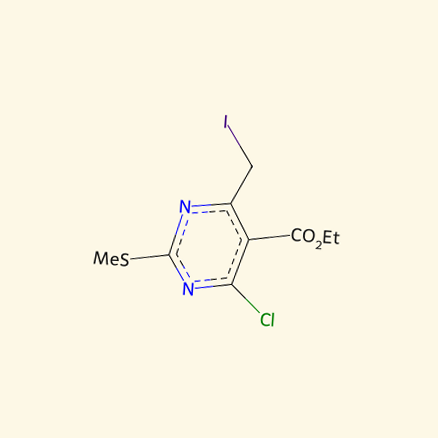 CCOC(=O)c1c(Cl)nc(SC)nc1CI